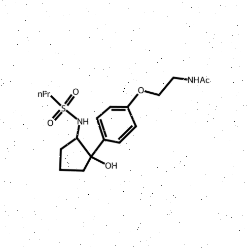 CCCS(=O)(=O)NC1CCCC1(O)c1ccc(OCCNC(C)=O)cc1